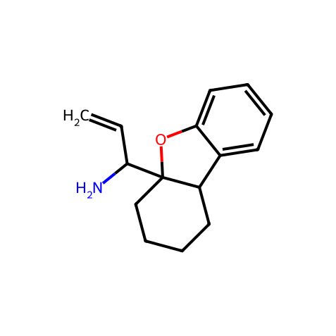 C=CC(N)C12CCCCC1c1ccccc1O2